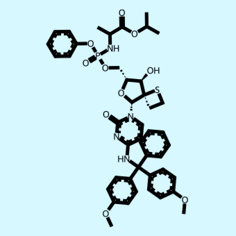 COc1ccc(C(Nc2ccn([C@@H]3O[C@H](COP(=O)(NC(C)C(=O)OC(C)C)Oc4ccccc4)[C@@H](O)[C@]34CCS4)c(=O)n2)(c2ccccc2)c2ccc(OC)cc2)cc1